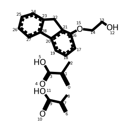 C=C(C)C(=O)O.C=C(C)C(=O)O.OCCOc1cccc2c1Cc1ccccc1-2